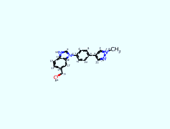 Cn1cc(-c2ccc(-n3cnc4ccc(C=O)cc43)cc2)cn1